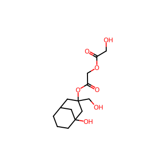 O=C(CO)OCC(=O)OC1(CO)CC2CCCC(O)(C2)C1